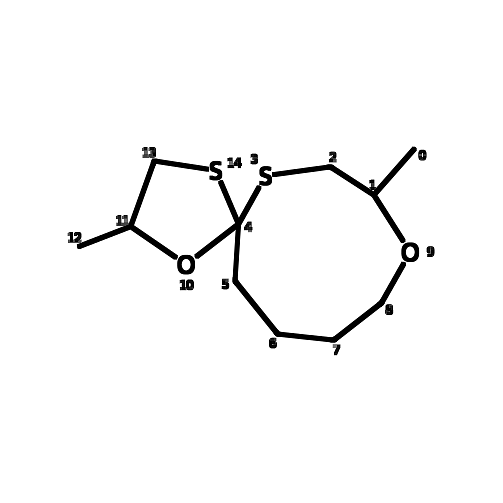 CC1CSC2(CCCCO1)OC(C)CS2